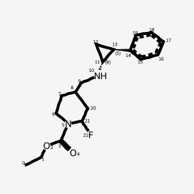 CCOC(=O)N1CCC(CN[C@@H]2C[C@H]2c2ccccc2)CC1F